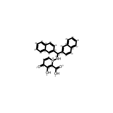 O=C(O)c1c(O)c(=O)ccn1NC(c1ccc2ccccc2c1)c1ccc2ccccc2c1